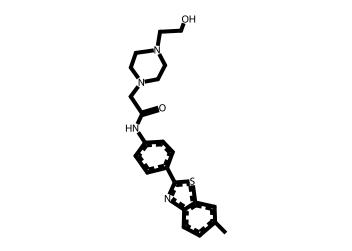 Cc1ccc2nc(-c3ccc(NC(=O)CN4CCN(CCO)CC4)cc3)sc2c1